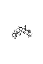 O=C(Nc1ccncc1)Nc1cccc(C(=O)n2ccc3cccnc32)c1